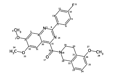 COc1cc2nc(-c3ccc(F)cc3)nc(C(=O)N3CCc4c(cccc4OC)C3)c2cc1OC